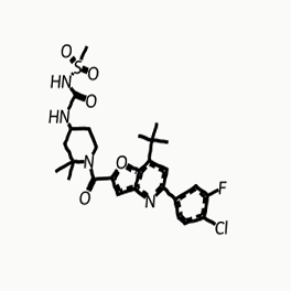 CC(C)(C)c1cc(-c2ccc(Cl)c(F)c2)nc2cc(C(=O)N3CCC(NC(=O)NS(C)(=O)=O)CC3(C)C)oc12